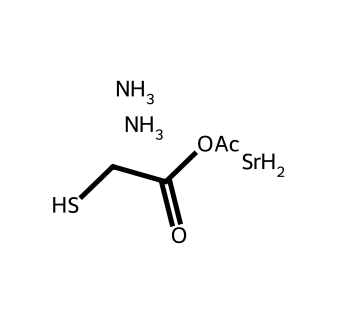 CC(=O)OC(=O)CS.N.N.[SrH2]